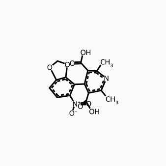 Cc1nc(C)c(C(=O)O)c(-c2c([N+](=O)[O-])ccc3c2OCO3)c1C(=O)O